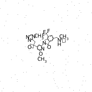 CCOc1cc(C2(Cc3nncn3C)COC2)cc(N2Cc3c(cc(CNC4(C)CCC4)cc3C(F)(F)F)C2=O)n1